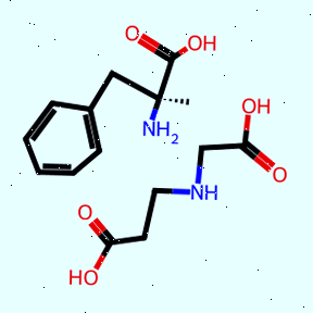 C[C@](N)(Cc1ccccc1)C(=O)O.O=C(O)CCNCC(=O)O